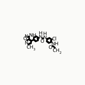 C=CC(=O)Nc1ccc(NC(=O)Nc2ccc(-c3cc(C)nc4onc(N)c34)cc2)cc1Cl